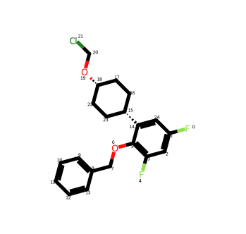 Fc1cc(F)c(OCc2ccccc2)c([C@H]2CC[C@@H](OCCl)CC2)c1